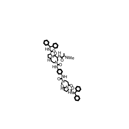 CN[C@@H](C)C(=O)N[C@H]1CN(C(=O)Nc2ccc(NC(=O)N3CCC(=O)N4[C@H](CC[C@H]4C(=O)NC(c4ccccc4)c4ccccc4)OC3)cc2)CC[C@H]2CC[C@@H](C(=O)NC(c3ccccc3)c3ccccc3)N2C1=O